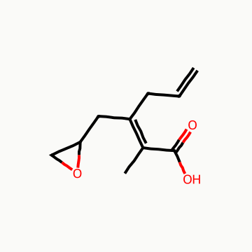 C=CCC(CC1CO1)=C(C)C(=O)O